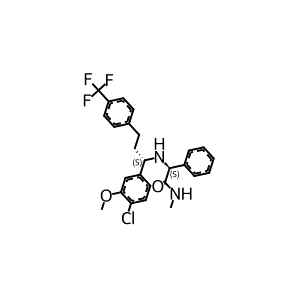 CNC(=O)[C@@H](N[C@@H](CCc1ccc(C(F)(F)F)cc1)c1ccc(Cl)c(OC)c1)c1ccccc1